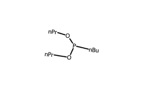 CCCCP(OCCC)OCCC